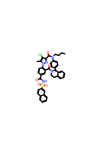 CCCCN(C(=O)c1nn(-c2ccc(C(=O)NS(=O)(=O)c3ccc4ccccc4c3)cc2C(=O)N2CCc3ccccc3C2)c(C)c1Cl)c1ccc(C)cc1